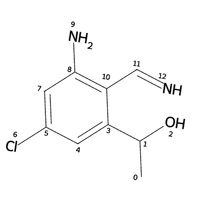 CC(O)c1cc(Cl)cc(N)c1C=N